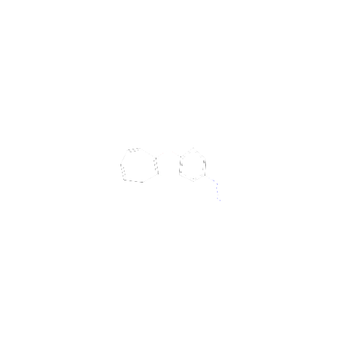 NNc1ccc(OC2=C(Cl)CC=CC=C2)cc1